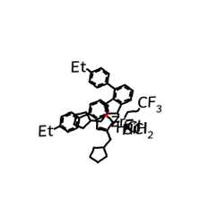 CCc1ccc(-c2cccc3c2C=C(CC2CCCC2)[CH]3[Zr]([CH3])(=[SiH2])([CH2]CC(F)(F)F)[CH]2C(CC3CCCC3)=Cc3c(-c4ccc(CC)cc4)cccc32)cc1.Cl.Cl